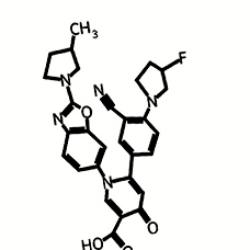 CC1CCN(c2nc3ccc(-n4cc(C(=O)O)c(=O)cc4-c4ccc(N5CCC(F)C5)c(C#N)c4)cc3o2)C1